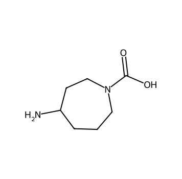 NC1CCCN(C(=O)O)CC1